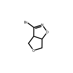 BrC1=NOC2COCC12